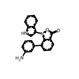 Nc1cccc(-c2cccc3c(=O)on(-c4c[nH]c5ccccc45)c23)c1